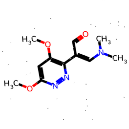 COc1cc(OC)c(C(C=O)=CN(C)C)nn1